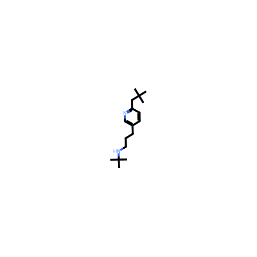 CC(C)(C)Cc1ccc(CCCNC(C)(C)C)cn1